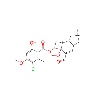 COc1cc(O)c(C(=O)OC2CC3(C)C4CC(C)(C)CC4C=C(C=O)C23OC)c(C)c1Cl